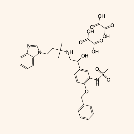 CC(C)(CCn1cnc2ccccc21)NCC(O)c1ccc(OCc2ccccc2)c(NS(C)(=O)=O)c1.O=C(O)C(=O)O.O=C(O)C(=O)O